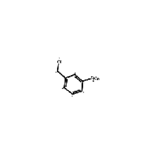 CSc1cccc([CH]O)c1